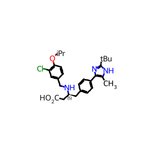 Cc1[nH]c(C(C)(C)C)nc1-c1ccc(C[C@@H](CC(=O)O)NCc2ccc(OC(C)C)c(Cl)c2)cc1